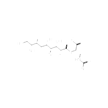 NC(=O)NC[C@H](NC(=O)[C@H](O)[C@@H](O)[C@@H](N)[C@@H](O)C[C@H](O)[C@H](N)CO)C(N)=O